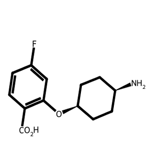 N[C@H]1CC[C@@H](Oc2cc(F)ccc2C(=O)O)CC1